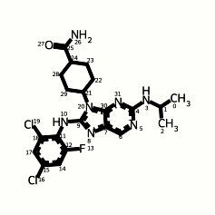 CC(C)Nc1ncc2nc(Nc3c(F)cc(Cl)cc3Cl)n(C3CCC(C(N)=O)CC3)c2n1